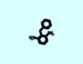 Nc1cccc(N)c1Cc1ccccc1